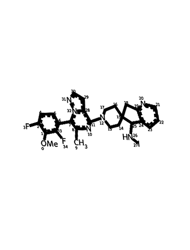 COc1c(F)ccc(-c2c(C)nc(N3CCC4(CC3)Cc3ncccc3C4NI)c3ccnn23)c1F